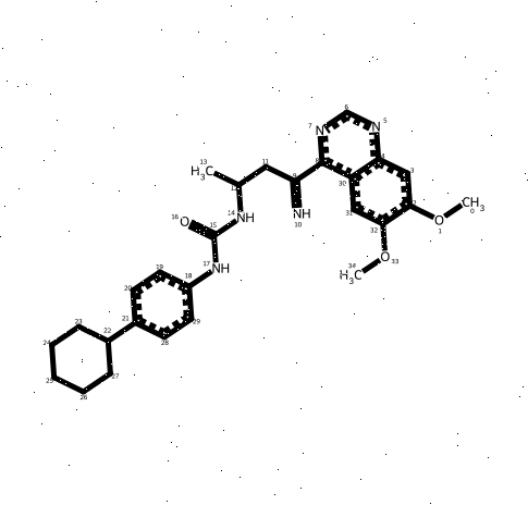 COc1cc2ncnc(C(=N)CC(C)NC(=O)Nc3ccc(C4CCCCC4)cc3)c2cc1OC